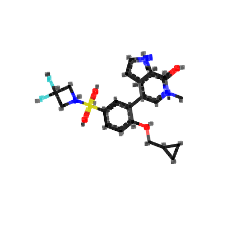 Cn1cc(-c2cc(S(=O)(=O)N3CC(F)(F)C3)ccc2OCC2CC2)c2cc[nH]c2c1=O